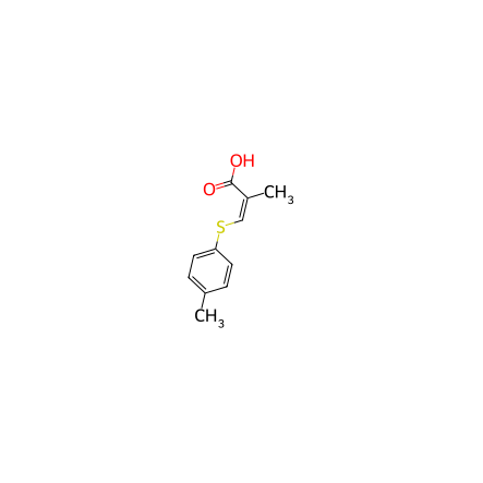 CC(=CSc1ccc(C)cc1)C(=O)O